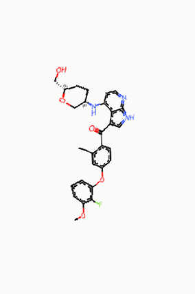 COc1cccc(Oc2ccc(C(=O)c3c[nH]c4nccc(N[C@@H]5CC[C@@H](CO)OC5)c34)c(C)c2)c1F